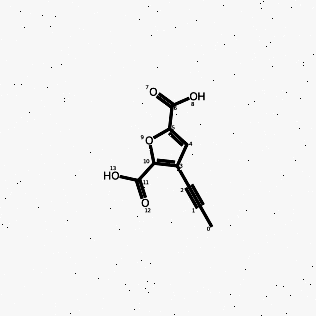 CC#Cc1cc(C(=O)O)oc1C(=O)O